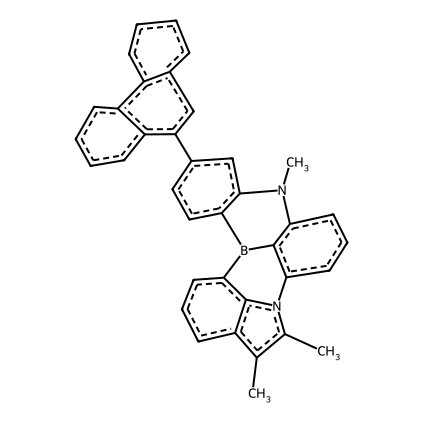 Cc1c(C)n2c3c(cccc13)B1c3ccc(-c4cc5ccccc5c5ccccc45)cc3N(C)c3cccc-2c31